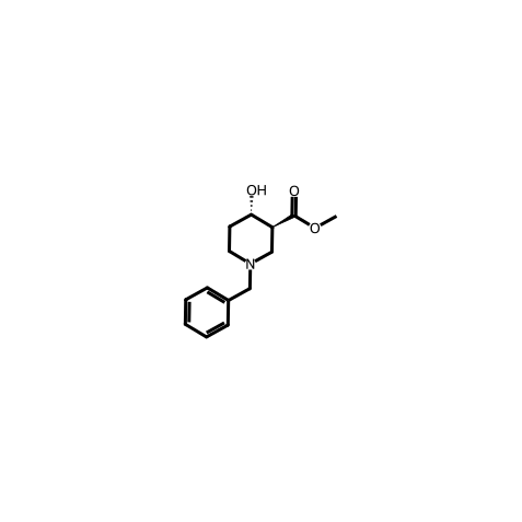 COC(=O)[C@H]1CN(Cc2ccccc2)CC[C@@H]1O